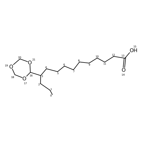 CCCC(CCCCCCCCCC(=O)O)C1OCOCO1